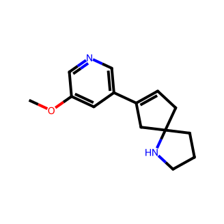 COc1cncc(C2=CCC3(CCCN3)C2)c1